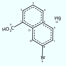 O=C(O)c1cccc2ccc(Br)cc12.[Hg]